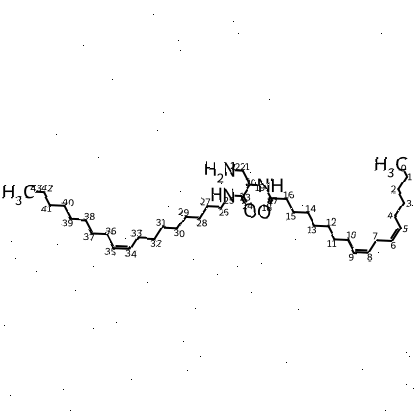 CCCCC/C=C\C/C=C\CCCCCCCC(=O)NC(CN)C(=O)NCCCCCCCC/C=C\CCCCCCCC